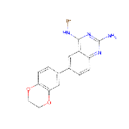 Nc1nc(NBr)c2cc(-c3ccc4c(c3)OCCO4)ccc2n1